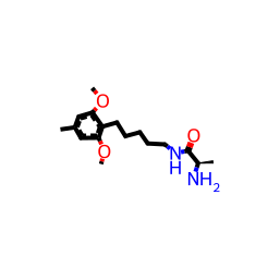 COc1cc(C)cc(OC)c1CCCCCNC(=O)[C@@H](C)N